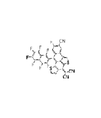 N#CC(C#N)=c1c2ccsc2c2c(-c3c(F)c(F)c4c(F)c(F)c(F)c(F)c4c3F)c3cc(F)c(C#N)cc3c3csc1c32